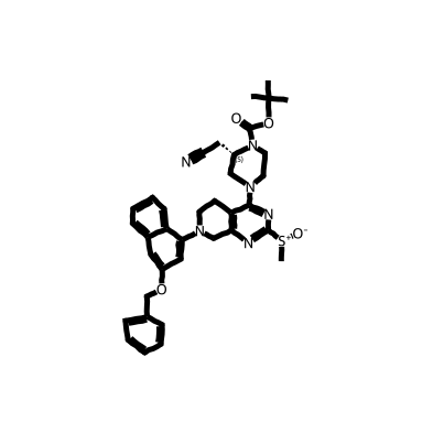 C[S+]([O-])c1nc2c(c(N3CCN(C(=O)OC(C)(C)C)[C@@H](CC#N)C3)n1)CCN(c1cc(OCc3ccccc3)cc3ccccc13)C2